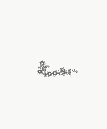 COC(=O)N[C@H](C(=O)N1CCC[C@H]1c1ncc(-c2ccc(-c3ccc(-c4cnc([C@@H]5C6CCC(C6)[C@H]5C(=O)NC(CO)c5ccccn5)[nH]4)cc3)cc2)[nH]1)C(C)C